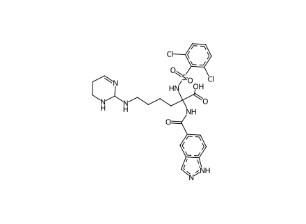 O=C(NC(CCCCNC1N=CCCN1)(NS(=O)(=O)c1c(Cl)cccc1Cl)C(=O)O)c1ccc2[nH]ncc2c1